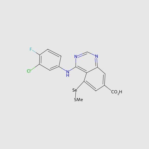 CS[Se]c1cc(C(=O)O)cc2ncnc(Nc3ccc(F)c(Cl)c3)c12